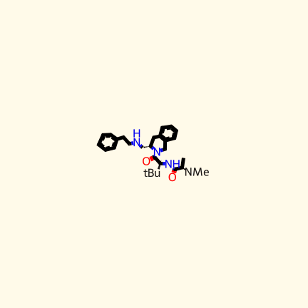 CN[C@@H](C)C(=O)N[C@H](C(=O)N1Cc2ccccc2C[C@H]1CNCCc1ccccc1)C(C)(C)C